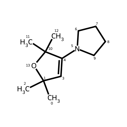 CC1(C)C=C(N2CCCC2)C(C)(C)O1